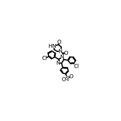 CS(=O)(=O)c1ccc(C2N=C(c3cccc(Cl)c3)N(C(=O)N3CCNC(=O)C3)C2c2cccc(Cl)c2)cc1